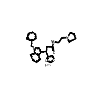 Cl.O=C(CC(c1cscn1)c1cn(Cc2ccccc2)c2ccccc12)NCCN1CCCC1